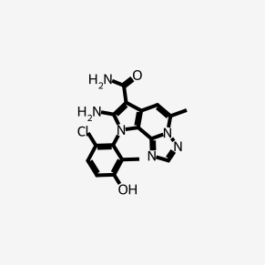 Cc1c(O)ccc(Cl)c1-n1c(N)c(C(N)=O)c2cc(C)n3ncnc3c21